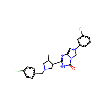 CC1CN(Cc2ccc(F)cc2)CC1C1=NC2=CN(c3cccc(F)c3)CN2C(=O)N1